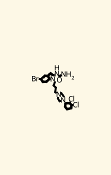 NC(=O)Nc1cc2cc(Br)ccc2n1CCCCN1CCN(c2cccc(Cl)c2Cl)CC1